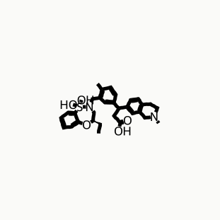 CC[C@@H]1CN(Cc2cc(C(CC(=O)O)c3ccc4c(c3)CN(C)CC4)ccc2C)S(O)(O)c2ccccc2O1